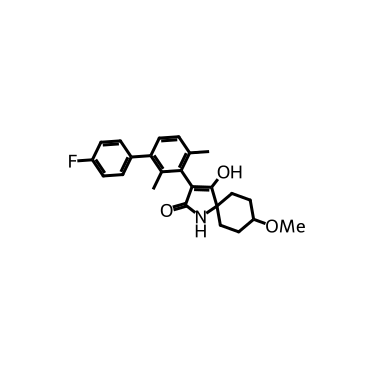 COC1CCC2(CC1)NC(=O)C(c1c(C)ccc(-c3ccc(F)cc3)c1C)=C2O